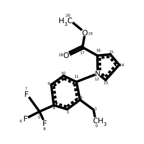 CCc1cc(C(F)(F)F)ccc1-n1cccc1C(=O)OC